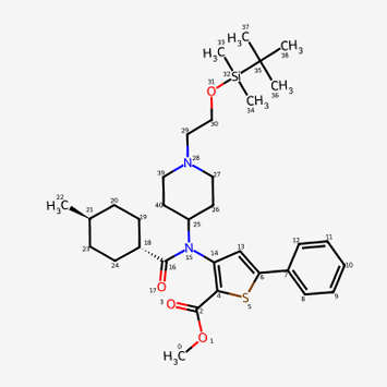 COC(=O)c1sc(-c2ccccc2)cc1N(C(=O)[C@H]1CC[C@H](C)CC1)C1CCN(CCO[Si](C)(C)C(C)(C)C)CC1